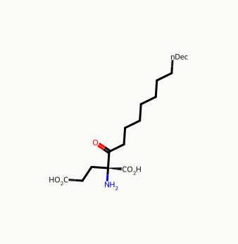 CCCCCCCCCCCCCCCCCC(=O)[C@](N)(CCC(=O)O)C(=O)O